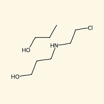 CCCO.OCCCNCCCl